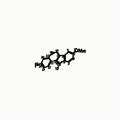 COc1ccc2c(c1)c1c(n2C)-c2ccc(F)cc2SC1